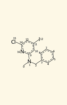 CN(Cc1ccccc1)c1cc(I)cc(Cl)n1